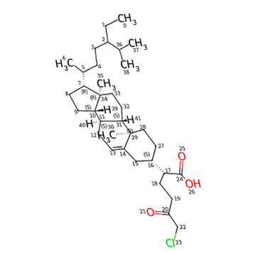 CCC(CCC(C)[C@H]1CC[C@H]2[C@@H]3CC=C4C[C@@H](C(CCC(=O)CCl)C(=O)O)CC[C@]4(C)[C@H]3CC[C@]12C)C(C)C